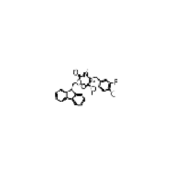 COC(=O)[C@H](Cc1ccc(Cl)c(F)c1)N(C)C(=O)OCC1c2ccccc2-c2ccccc21